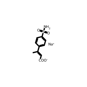 CC(=CC(=O)[O-])c1ccc(S(N)(=O)=O)cc1.[Na+]